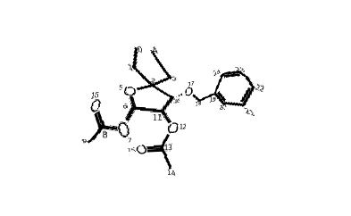 CCC1(CC)OC(OC(C)=O)C(OC(C)=O)[C@H]1OCc1ccccc1